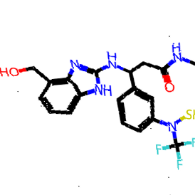 CNC(=O)CC(Nc1nc2c(CO)cccc2[nH]1)c1cccc(N(S)C(F)(F)F)c1